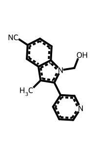 Cc1c(-c2cccnc2)n(CO)c2ccc(C#N)cc12